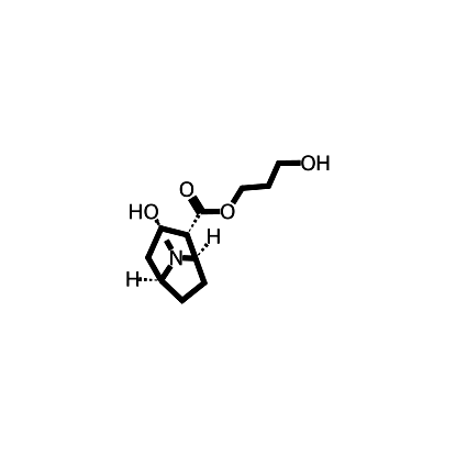 CN1[C@H]2CC[C@@H]1[C@@H](C(=O)OCCCO)[C@@H](O)C2